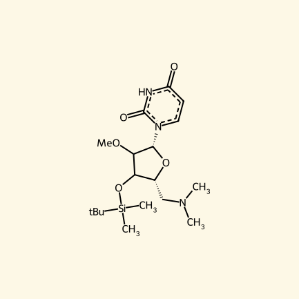 COC1C(O[Si](C)(C)C(C)(C)C)[C@@H](CN(C)C)O[C@H]1n1ccc(=O)[nH]c1=O